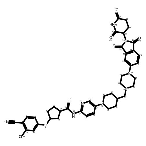 N#Cc1ccc(OC2CCC(C(=O)Nc3ccc(N4CCC(CN5CCN(c6ccc7c(c6)C(=O)N(C6CCC(=O)NC6=O)C7=O)CC5)CC4)cn3)C2)cc1Cl